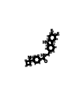 NC1(c2ccc(C(=O)NCc3ccc4c(c3)[nH]c3cc(F)c(F)cc34)cc2)CCC1